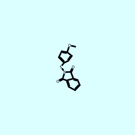 COc1ccc(SN2C(=O)c3ccccc3C2=O)cc1